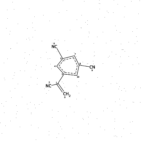 C=C(C#N)c1cc(C#N)cc(C#N)c1